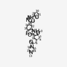 COc1ccc(CC(=O)N2CCN(C)CC2)cc1C(=O)Nc1cc(-c2nnc(-c3ccco3)o2)ccc1F